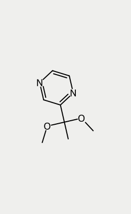 COC(C)(OC)c1cnccn1